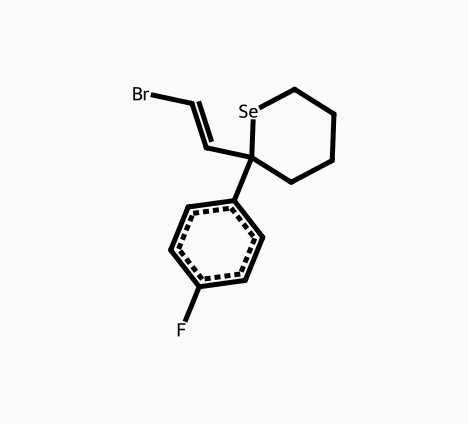 Fc1ccc(C2(C=CBr)CCCC[Se]2)cc1